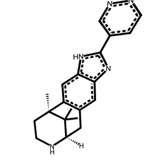 CC1(C)[C@H]2Cc3cc4nc(-c5ccnnc5)[nH]c4cc3[C@]1(C)CCN2